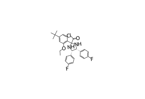 CCOc1cc(C(C)(C)C)ccc1C1(C(=O)Cl)N[C@H](c2ccc(F)cc2)[C@H](c2ccc(F)cc2)N1